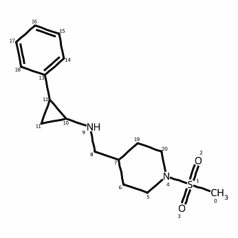 CS(=O)(=O)N1CCC(CNC2CC2c2ccccc2)CC1